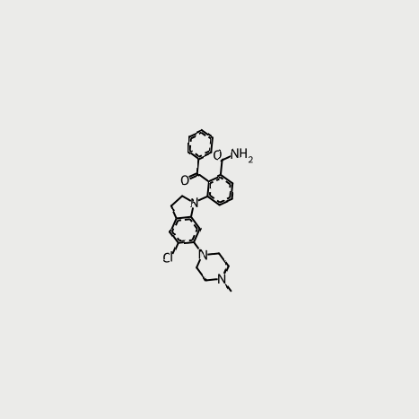 CN1CCN(c2cc3c(cc2Cl)CCN3c2cccc(C(N)=O)c2C(=O)c2ccccc2)CC1